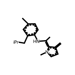 C=c1ccn(C)/c1=C(/C)Nc1ccc(C)cc1CC(C)C